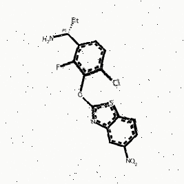 CC[C@@H](N)c1ccc(Cl)c(Oc2nc3cc([N+](=O)[O-])ccc3s2)c1F